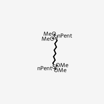 CCCCC[Si](CCCCCCCC[Si](CCCCC)(OC)OC)(OC)OC